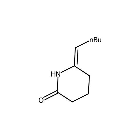 CCCCC=C1CCCC(=O)N1